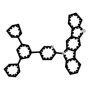 c1ccc(-c2cc(-c3ccccc3)cc(-c3ccc(-n4c5ccccc5c5cc6oc7ccccc7c6cc54)nc3)c2)cc1